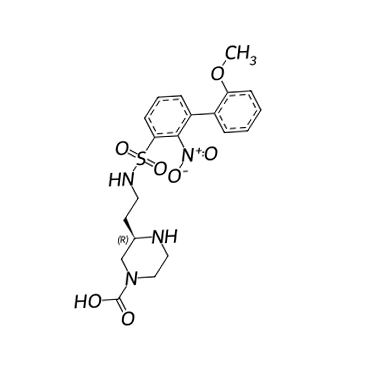 COc1ccccc1-c1cccc(S(=O)(=O)NCC[C@@H]2CN(C(=O)O)CCN2)c1[N+](=O)[O-]